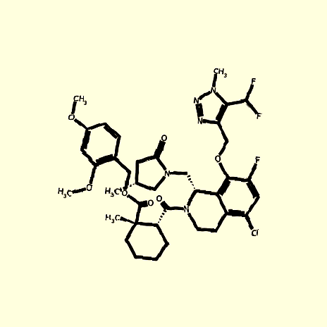 COc1ccc(COC(=O)[C@@]2(C)CCCC[C@H]2C(=O)N2CCc3c(Cl)cc(F)c(OCc4nnn(C)c4C(F)F)c3[C@H]2CN2C[C@H](C)CC2=O)c(OC)c1